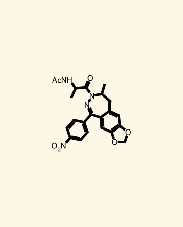 CC(=O)NC(C)C(=O)N1N=C(c2ccc([N+](=O)[O-])cc2)c2cc3c(cc2CC1C)OCO3